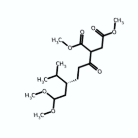 COC(=O)CC(C(=O)CC[C@H](CC(OC)OC)C(C)C)C(=O)OC